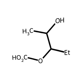 CCC(OC(=O)O)C(C)O